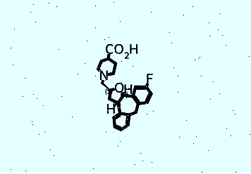 O=C(O)C1CCN(C[C@@H]2C[C@@H]3c4ccccc4Cc4ccc(F)cc4[C@@H]3O2)CC1